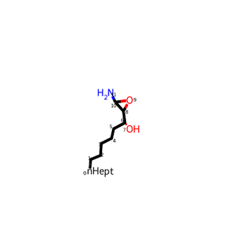 CCCCCCCCCCCC[C@@H](O)C1OC1N